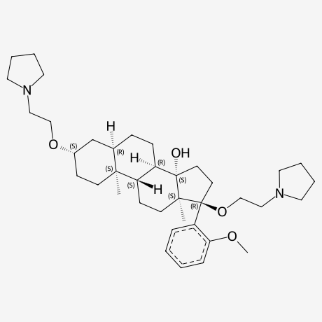 COc1ccccc1[C@@]1(OCCN2CCCC2)CC[C@]2(O)[C@@H]3CC[C@@H]4C[C@@H](OCCN5CCCC5)CC[C@]4(C)[C@H]3CC[C@]12C